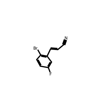 N#C/C=C/c1cc(F)ccc1Br